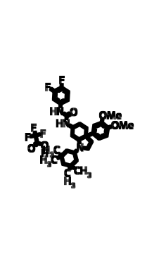 COc1ccc(C23CCC(NC(=O)Nc4ccc(F)c(F)c4)CC2N(C2CC(C)(C)CC(C)(C)C2)CC3)cc1OC.O=C(O)C(F)(F)F